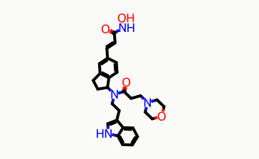 O=C(C=Cc1ccc2c(c1)CCC2N(CCc1c[nH]c2ccccc12)C(=O)CCN1CCOCC1)NO